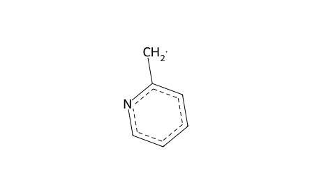 [CH2]c1ccccn1